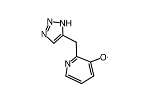 [O]c1cccnc1Cc1cnn[nH]1